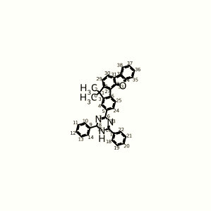 CC1(C)c2cc(C3=NC(c4ccccc4)NC(c4ccccc4)=N3)ccc2-c2c1ccc1c2oc2ccccc21